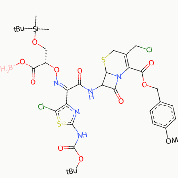 BOC(=O)[C@H](CO[Si](C)(C)C(C)(C)C)O/N=C(\C(=O)NC1C(=O)N2C(C(=O)OCc3ccc(OC)cc3)=C(CCl)CSC12)c1nc(NC(=O)OC(C)(C)C)sc1Cl